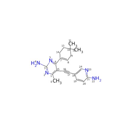 Cc1nc(N)nc(C2=CCC(C)(C)CC2)c1C#Cc1ccc(N)nc1